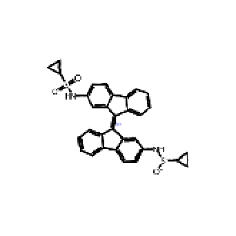 O=S(=O)(Nc1ccc2c(c1)/C(=C1\c3ccccc3-c3ccc(N[S+]([O-])C4CC4)cc31)c1ccccc1-2)C1CC1